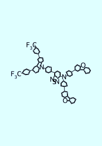 FC(F)(F)c1ccc(-c2ccc3c(c2)c2cc(-c4ccc(C(F)(F)F)cc4)ccc2n3-c2ccc(-c3ccc(N(c4ccc(-c5ccc6oc7ccccc7c6c5)cc4)c4ccc(-c5ccc6oc7ccccc7c6c5)cc4)c4nsnc34)cc2)cc1